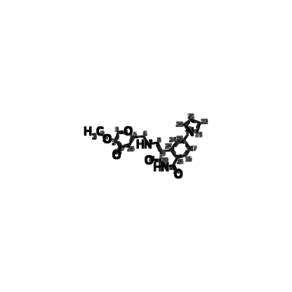 COc1coc(CNC=C2C(=O)NC(=O)c3ccc(-n4cccc4)cc32)cc1=O